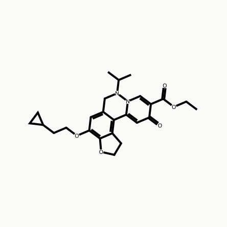 CCOC(=O)c1cn2c(cc1=O)-c1c(cc(OCCC3CC3)c3c1CCO3)CN2C(C)C